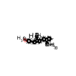 CCC1(CC)c2ccccc2-c2ccc(-c3ccc4c(c3)C(CC)(CC)c3cc(-c5ccc(OC)cc5)ccc3-4)cc21